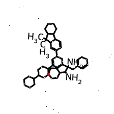 CC1(C)C2C=C(C3C=C(C4CCC(C5CCCCC5)CC4)C=C(C(N)(CC4C=CCCC4)C(N)C4CCCCC4)C3)C=CC2C2CCCCC21